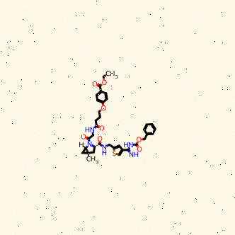 CCOC(=O)c1ccc(OCCCC(=O)NCC(=O)N2[C@H]3C[C@@]3(C)C[C@H]2C(=O)NCc2cc(C(=N)NC(=O)OCc3ccccc3)cs2)cc1